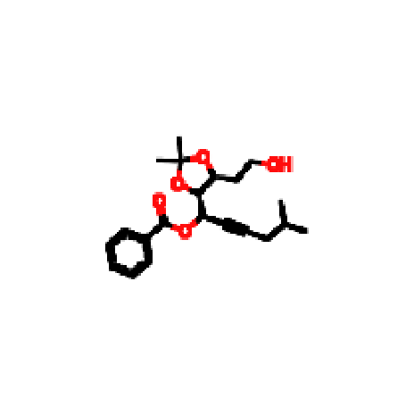 CC(C)CC#CC(OC(=O)c1ccccc1)[C@H]1OC(C)(C)O[C@H]1CCO